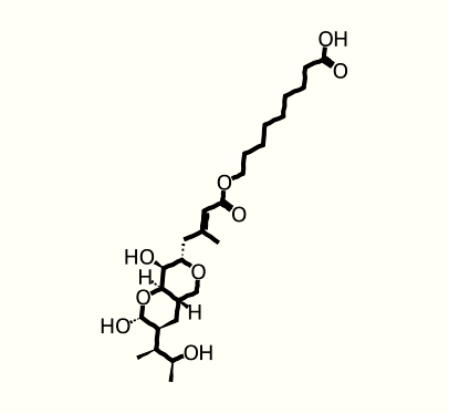 C/C(=C\C(=O)OCCCCCCCCC(=O)O)C[C@@H]1OC[C@@H]2C[C@@H]([C@H](C)[C@H](C)O)[C@H](O)O[C@H]2[C@H]1O